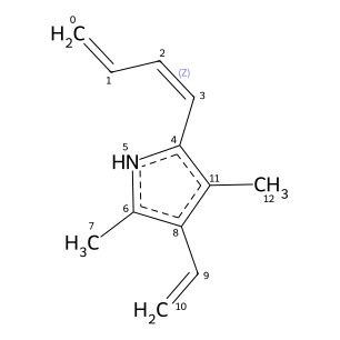 C=C/C=C\c1[nH]c(C)c(C=C)c1C